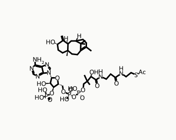 C=C1[C@H]2C[C@@H]3CCC(C)=C(CC[C@]2(C)CC[C@@H]1O)C3(C)C.CC(=O)SCCNC(=O)CCNC(=O)[C@H](O)C(C)(C)COP(=O)(O)OP(=O)(O)OC[C@H]1O[C@@H](n2cnc3c(N)ncnc32)[C@H](O)[C@@H]1OP(=O)(O)O